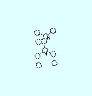 c1ccc(-c2cccc(-c3cc(-c4cc5nc(-c6ccccc6)cc(-c6ccccc6)c5c5ccccc45)cc(-c4cccc(-c5ccccc5)c4)n3)c2)cc1